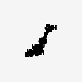 CC(NCc1ccc(C#Cc2cn[nH]c2)cc1)(C(=O)NO)[C@](C)(O)CF